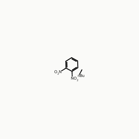 CCCCC.O=[N+]([O-])c1ccccc1[N+](=O)[O-]